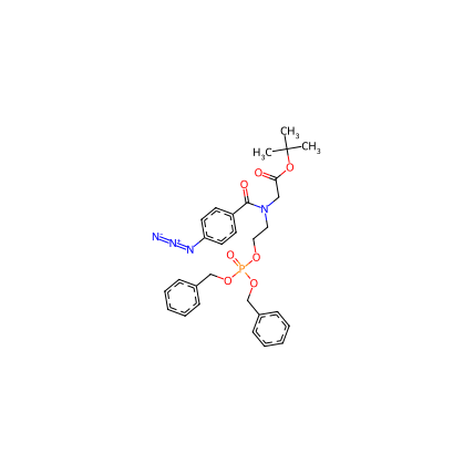 CC(C)(C)OC(=O)CN(CCOP(=O)(OCc1ccccc1)OCc1ccccc1)C(=O)c1ccc(N=[N+]=[N-])cc1